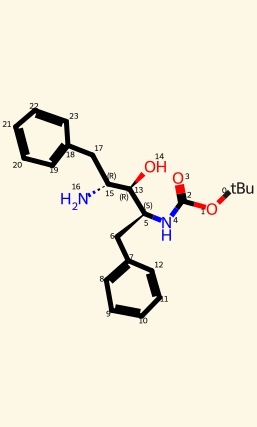 CC(C)(C)OC(=O)N[C@@H](Cc1ccccc1)[C@H](O)[C@H](N)Cc1ccccc1